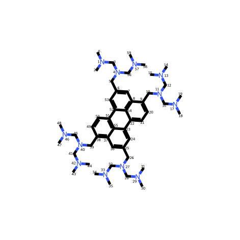 CN(C)CN(Cc1cc2c(CN(CN(C)C)CN(C)C)ccc3c4cc(CN(CN(C)C)CN(C)C)cc5c(CN(CN(C)C)CN(C)C)ccc(c(c1)c23)c54)CN(C)C